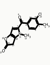 Cc1ccc(C(=O)c2cc3c(n2C)CC(=O)O3)cc1Cl